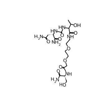 CC(O)C(NC(=O)N[C@@H](CC(N)=O)C(N)=O)C(=O)NCCOCCOCC(=O)N[C@@H](CO)C(N)=O